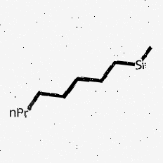 CCCCCCCC[Si]C